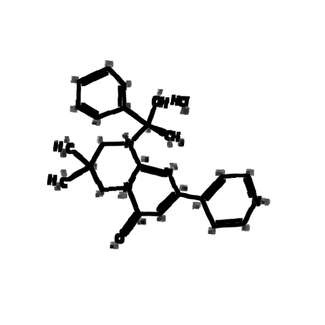 CC1(C)CN([C@@](C)(O)c2ccccc2)c2nc(-c3ccncc3)cc(=O)n2C1.Cl